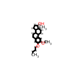 CCCCOc1cc2c(cc1OC)C1CC[C@@]3(C)C(CC[C@@H]3O)C1CC2